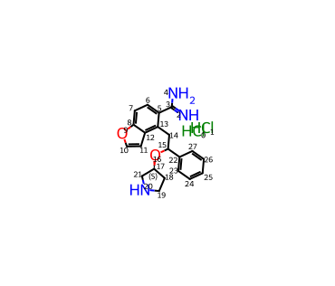 Cl.Cl.N=C(N)c1ccc2occc2c1CC(O[C@H]1CCNC1)c1ccccc1